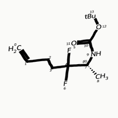 C=CCCC(F)(F)[C@@H](C)NC(=O)OC(C)(C)C